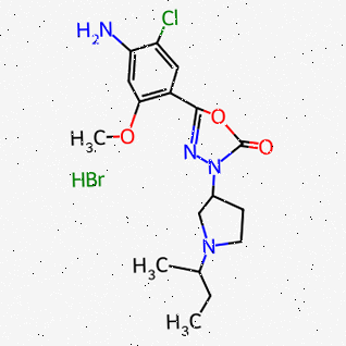 Br.CCC(C)N1CCC(n2nc(-c3cc(Cl)c(N)cc3OC)oc2=O)C1